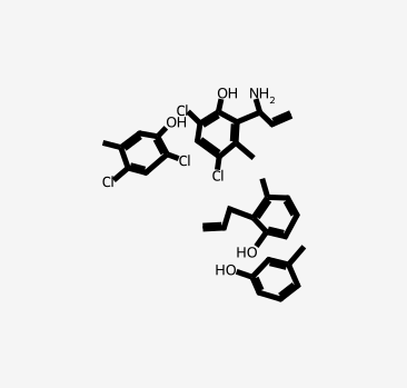 C=CC(N)c1c(C)c(Cl)cc(Cl)c1O.C=CCc1c(C)cccc1O.Cc1cc(O)c(Cl)cc1Cl.Cc1cccc(O)c1